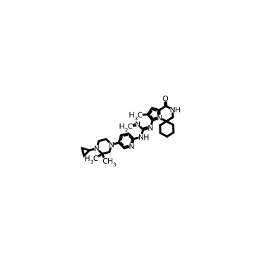 C=N/C(=N\c1c(C)cc2n1C1(CCCCC1)CNC2=O)Nc1ccc(N2CCN(C3CC3)C(C)(C)C2)cn1